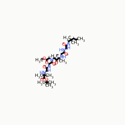 CCCC(C)(C)CNC(=O)CNC(=O)CNC(C)(C)C(=O)CN(CC(=O)OC)C(=O)CNC(=O)CNC(C)(C)C(=O)OC(C)(C)C